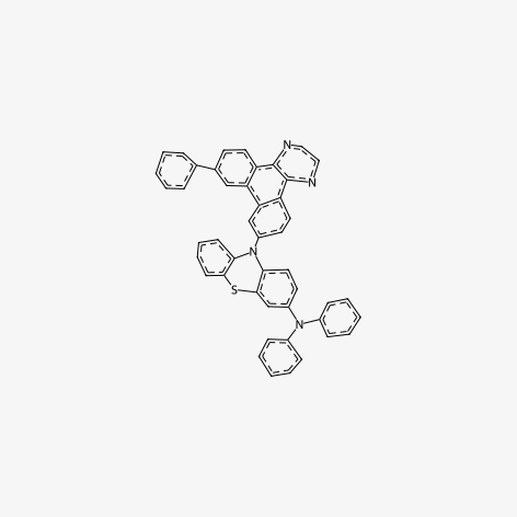 c1ccc(-c2ccc3c(c2)c2cc(N4c5ccccc5Sc5cc(N(c6ccccc6)c6ccccc6)ccc54)ccc2c2nccnc32)cc1